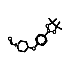 CC1(C)OB(c2ccc(OC3CCN(C=O)CC3)cc2)OC1(C)C